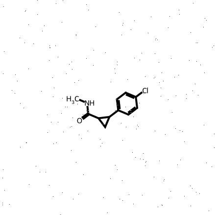 CNC(=O)C1CC1c1ccc(Cl)cc1